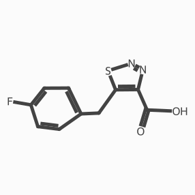 O=C(O)c1nnsc1Cc1ccc(F)cc1